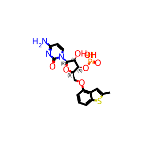 Cc1cc2c(OC[C@H]3O[C@@H](n4ccc(N)nc4=O)[C@H](O)[C@@H]3O[PH](=O)O)cccc2s1